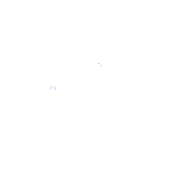 Cc1c(Cl)cccc1S(=O)(=O)Nc1ccsc1CN1CCOCC1